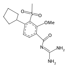 COc1c(C(=O)N=C(N)N)ccc(C2CCCC2)c1S(C)(=O)=O